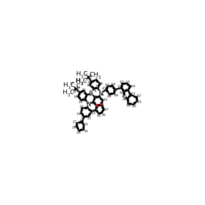 CC(C)(C)c1ccc2c(c1)B1c3cc(C(C)(C)C)ccc3N(c3ccc(-c4ccccc4)cc3-c3ccccc3)c3cccc(c31)N2c1ccc(-c2cccc3c2sc2ccccc23)cc1